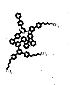 CCCCCCc1ccc(-c2cc(-c3ccc(CCCCCC)cc3)cc(-c3cccc(-c4cccc(C5(c6ccccc6)c6ccccc6-c6cc7c8cc(-c9ccc(CCCCCC)cc9)ccc8n(-c8cc(-c9ccc(-c%10ccccc%10)cc9)nc(-c9ccc(-c%10ccccc%10)cc9)n8)c7cc65)c4)c3)c2)cc1